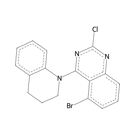 Clc1nc(N2CCCc3ccccc32)c2c(Br)cccc2n1